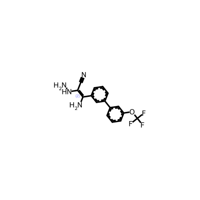 N#C/C(NN)=C(/N)c1cccc(-c2cccc(OC(F)(F)F)c2)c1